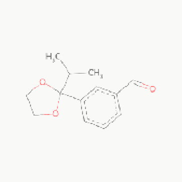 CC(C)C1(c2cccc(C=O)c2)OCCO1